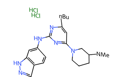 CCCCc1cc(N2CCCC(NC)C2)nc(Nc2ccc3cn[nH]c3c2)n1.Cl.Cl